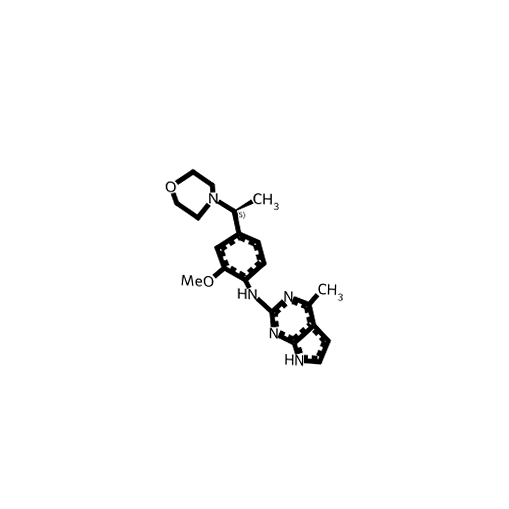 COc1cc([C@H](C)N2CCOCC2)ccc1Nc1nc(C)c2cc[nH]c2n1